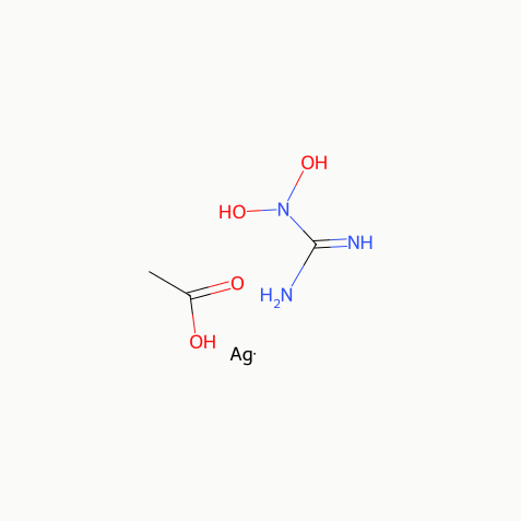 CC(=O)O.N=C(N)N(O)O.[Ag]